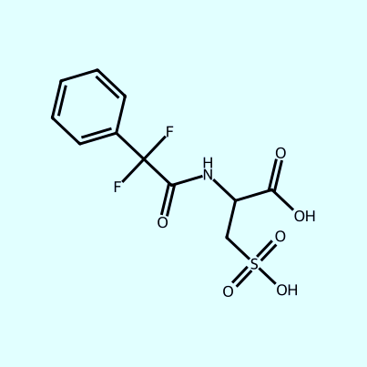 O=C(O)C(CS(=O)(=O)O)NC(=O)C(F)(F)c1ccccc1